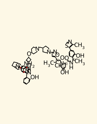 Cc1ncsc1-c1ccc([C@H](C)NC(=O)[C@@H]2C[C@@H](O)CN2C(=O)[C@H](c2cc(N3CCC(CN4CCC(O[C@H]5C[C@H](Oc6cc(N7C8CCC7CN(c7cc(-c9ccccc9O)nnc7N)C8)ccn6)C5)CC4)CC3)no2)C(C)C)c(O)c1